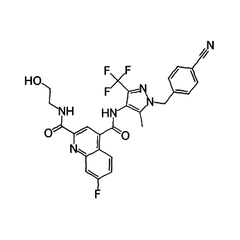 Cc1c(NC(=O)c2cc(C(=O)NCCO)nc3cc(F)ccc23)c(C(F)(F)F)nn1Cc1ccc(C#N)cc1